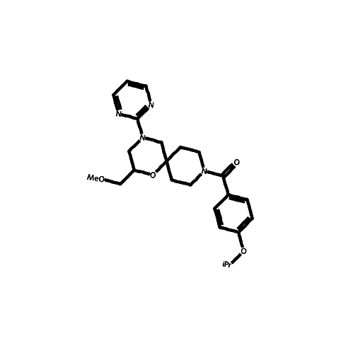 COCC1CN(c2ncccn2)CC2(CCN(C(=O)c3ccc(OC(C)C)cc3)CC2)O1